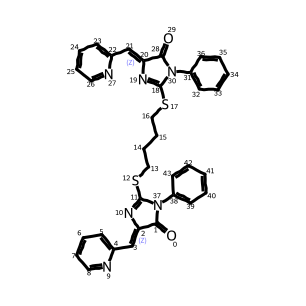 O=C1/C(=C/c2ccccn2)N=C(SCCCCSC2=N/C(=C\c3ccccn3)C(=O)N2c2ccccc2)N1c1ccccc1